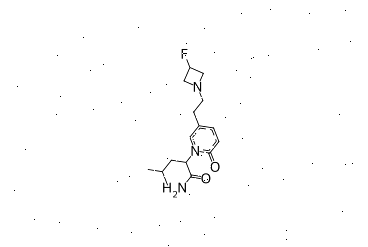 CC(C)CC(C(N)=O)n1cc(CCN2CC(F)C2)ccc1=O